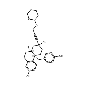 Oc1ccc(C[C@@]23CCC(O)(C#CCOC4CCCCO4)C[C@@H]2CCc2cc(O)ccc23)cc1